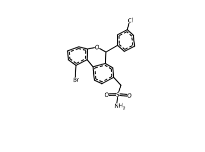 NS(=O)(=O)Cc1ccc2c(c1)C(c1cccc(Cl)c1)Oc1cccc(Br)c1-2